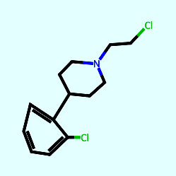 ClCCN1CCC(c2ccccc2Cl)CC1